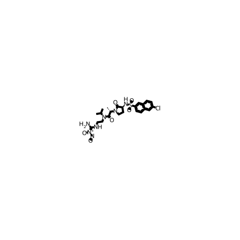 CC(C)N(CCN/C(N)=[N+](/[O-])N=O)C(=O)[C@H](C)N1CC[C@H](NS(=O)(=O)c2ccc3cc(Cl)ccc3c2)C1=O